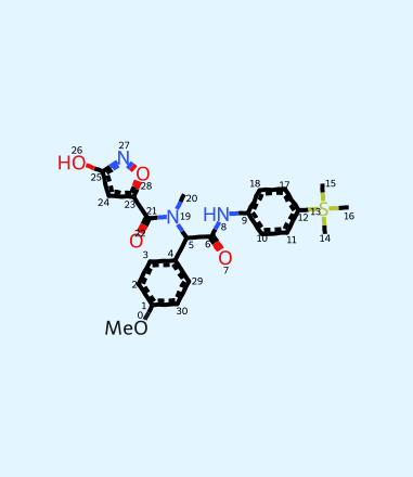 COc1ccc(C(C(=O)Nc2ccc(S(C)(C)C)cc2)N(C)C(=O)c2cc(O)no2)cc1